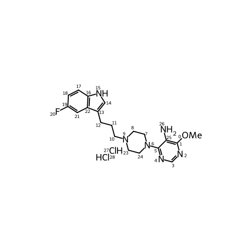 COc1ncnc(N2CCN(CCCc3c[nH]c4ccc(F)cc34)CC2)c1N.Cl.Cl